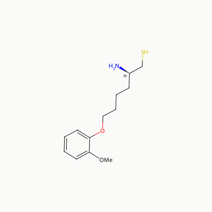 COc1ccccc1OCCCC[C@@H](N)CS